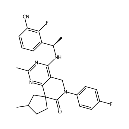 Cc1nc(N[C@H](C)c2cccc(C#N)c2F)c2c(n1)C1(CCC(C)C1)C(=O)N(c1ccc(F)cc1)C2